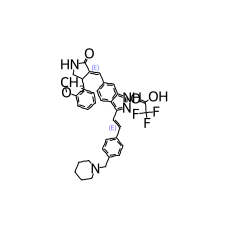 COc1ccccc1C1CNC(=O)/C1=C/c1ccc2c(/C=C/c3ccc(CN4CCCCC4)cc3)n[nH]c2c1.O=C(O)C(F)(F)F